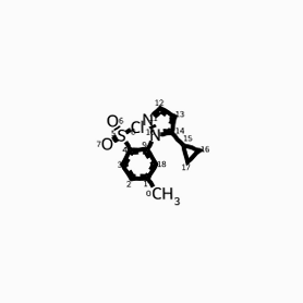 Cc1ccc(S(=O)(=O)Cl)c(-n2nccc2C2CC2)c1